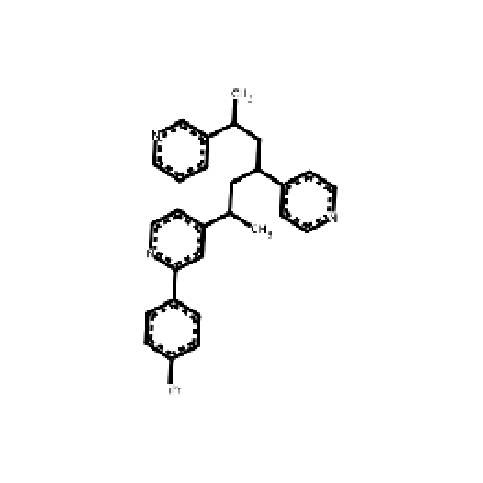 CC(C)c1ccc(-c2cc(C(C)CC(CC(C)c3cccnc3)c3ccncc3)ccn2)cc1